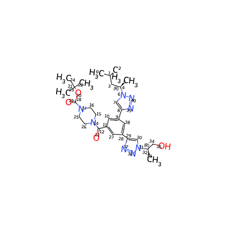 CC(C)C[C@@H](C)n1cc(-c2cc(C(=O)N3CCN(C(=O)OC(C)(C)C)CC3)cc(-c3cn([C@H](C)CO)nn3)c2)nn1